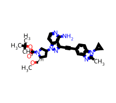 COC[C@H]1CC(n2nc(C#Cc3ccc4c(c3)nc(C)n4C3CC3)c3c(N)nccc32)CN1C(=O)OC(C)(C)C